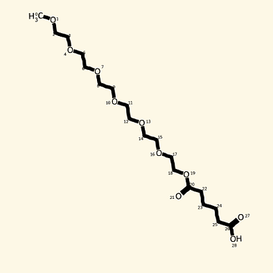 COCCOCCOCCOCCOCCOCCOC(=O)CCCCC(=O)O